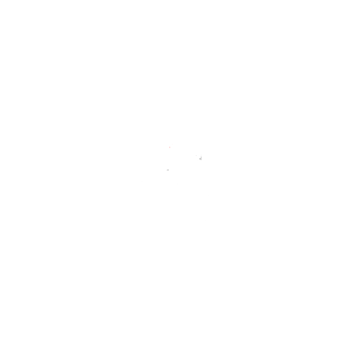 Cc1ccc2c(c1)[Si](C(C)C)(C(C)C)O[Si]2(C(C)C)C(C)C